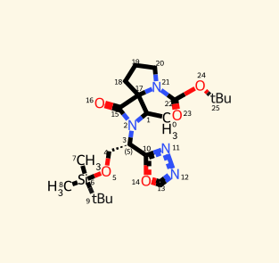 CC1N([C@@H](CO[Si](C)(C)C(C)(C)C)c2nnco2)C(=O)C12CCCN2C(=O)OC(C)(C)C